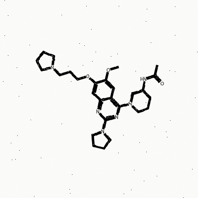 COc1cc2c(N3CCCC(NC(C)=O)C3)nc(N3CCCC3)nc2cc1OCCCN1CCCC1